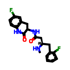 CN[C@@H](CC(=O)NC1Cc2cc(F)ccc2NC1=O)Cc1ccccc1F